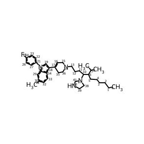 CCCCCCC(C(C)C)C(CCCN1CC=C(c2cn(-c3ccc(F)cc3)c3cc(C)ccc23)CC1)N1CCNC1